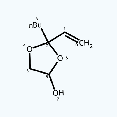 C=CC1(CCCC)OCC(O)O1